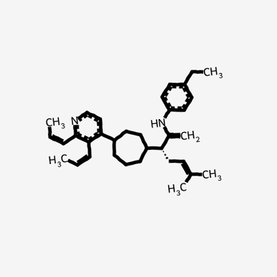 C=C(Nc1ccc(CC)cc1)[C@H](CC=C(C)C)C1CCCC(c2ccnc(/C=C\C)c2/C=C\C)CC1